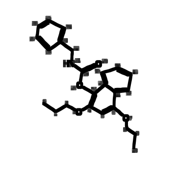 CCCOc1cc(OCCC)c2ccccc2c1OC(=O)NCc1ccccc1